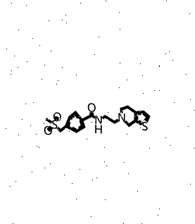 CS(=O)(=O)Cc1ccc(C(=O)NCCN2CCc3ccsc3C2)cc1